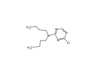 CCCCN(CCCC)c1ncnc(Cl)n1